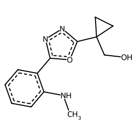 CNc1ccccc1-c1nnc(C2(CO)CC2)o1